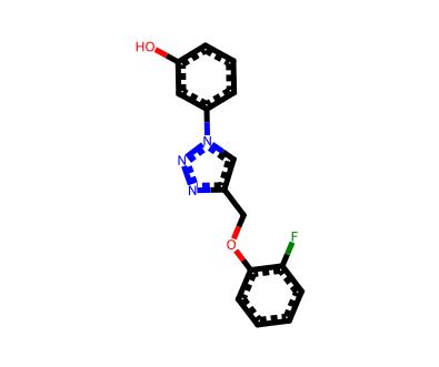 Oc1cccc(-n2cc(COc3ccccc3F)nn2)c1